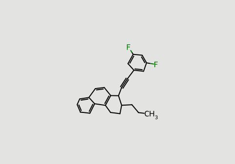 CCCC1CCc2c(ccc3ccccc23)C1C#Cc1cc(F)cc(F)c1